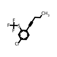 CCCC#Cc1ccc(Cl)cc1SC(F)(F)F